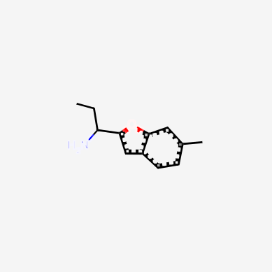 CCC(N)c1cc2ccc(C)cc2o1